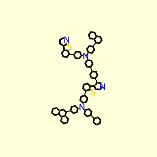 c1ccc(-c2ccc(N(c3ccc(-c4cc5ccccc5c5ccccc45)cc3)c3ccc(-c4cccc5c4sc4cncc(-c6ccc(-c7ccc(N(c8ccc(-c9cccc%10ccccc9%10)cc8)c8ccc(-c9cccc%10c9sc9ncccc9%10)cc8)cc7)cc6)c45)cc3)cc2)cc1